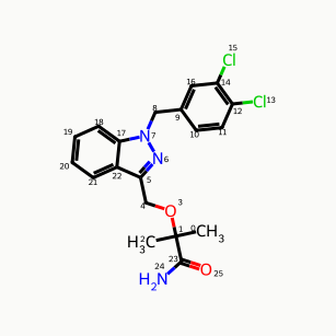 CC(C)(OCc1nn(Cc2ccc(Cl)c(Cl)c2)c2ccccc12)C(N)=O